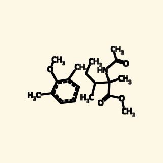 CCC(C)C(C)(NC(C)=O)C(=O)OC.COc1c(C)cccc1C